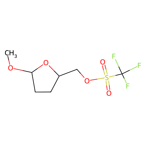 COC1CCC(COS(=O)(=O)C(F)(F)F)O1